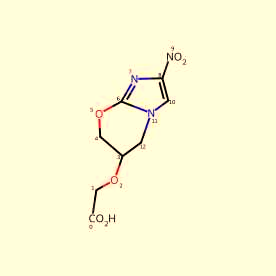 O=C(O)COC1COc2nc([N+](=O)[O-])cn2C1